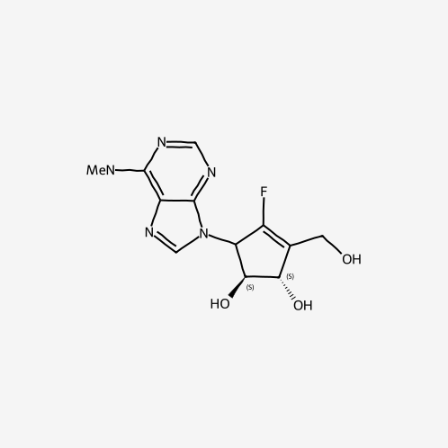 CNc1ncnc2c1ncn2C1C(F)=C(CO)[C@H](O)[C@H]1O